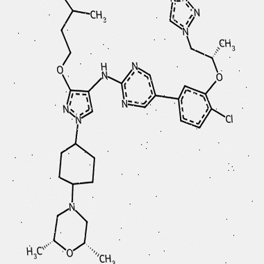 COC(C)CCOc1nn(C2CCC(N3C[C@@H](C)O[C@@H](C)C3)CC2)cc1Nc1ncc(-c2ccc(Cl)c(O[C@@H](C)Cn3cnnn3)c2)cn1